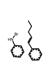 BrNc1ccccc1.CCCC=Cc1ccccc1